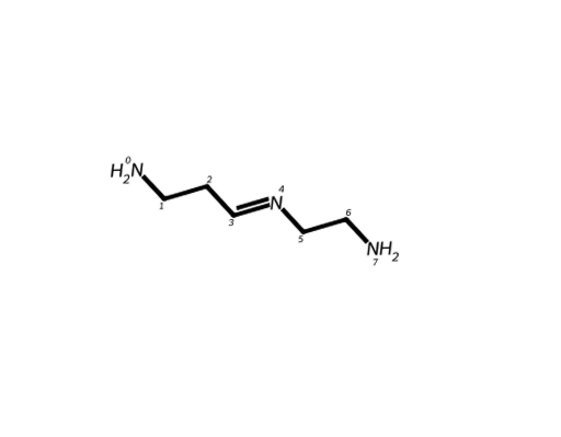 NCCC=NCCN